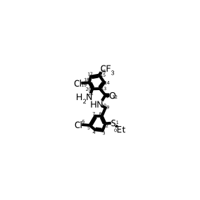 CCSc1ccc(Cl)cc1CNC(=O)c1cc(C(F)(F)F)cc(Cl)c1N